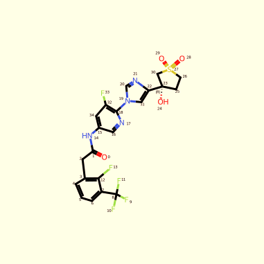 O=C(Cc1cccc(C(F)(F)F)c1F)Nc1cnc(-n2cnc([C@]3(O)CCS(=O)(=O)C3)c2)c(F)c1